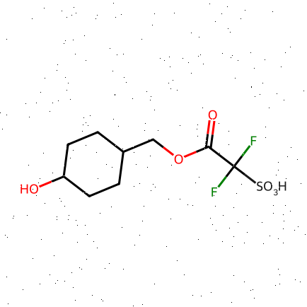 O=C(OCC1CCC(O)CC1)C(F)(F)S(=O)(=O)O